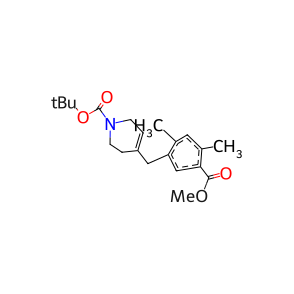 COC(=O)c1cc(CC2=CCN(C(=O)OC(C)(C)C)CC2)c(C)cc1C